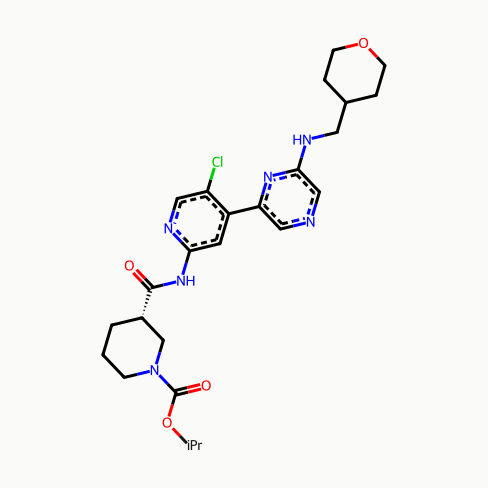 CC(C)OC(=O)N1CCC[C@H](C(=O)Nc2cc(-c3cncc(NCC4CCOCC4)n3)c(Cl)cn2)C1